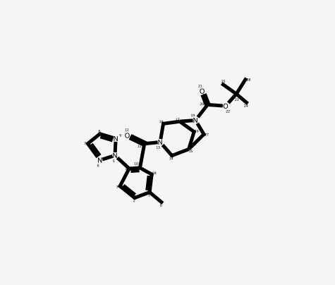 Cc1ccc(-n2nccn2)c(C(=O)N2CC3CC(C2)N(C(=O)OC(C)(C)C)C3)c1